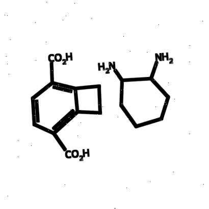 NC1CCCCC1N.O=C(O)c1ccc(C(=O)O)c2c1CC2